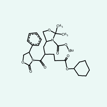 CC(C)(C)OC(=O)N1C(CC(CCC(=O)OC2CCCCC2)C(=O)N2C(=O)OCC2c2ccccc2)COC1(C)C